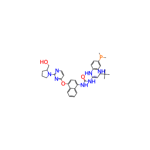 CP(C)c1ccc(N/C(=C\C(=N)C(C)(C)C)NC(=O)Nc2ccc(Oc3ccnc(N4CCCC4CO)n3)c3ccccc23)cc1